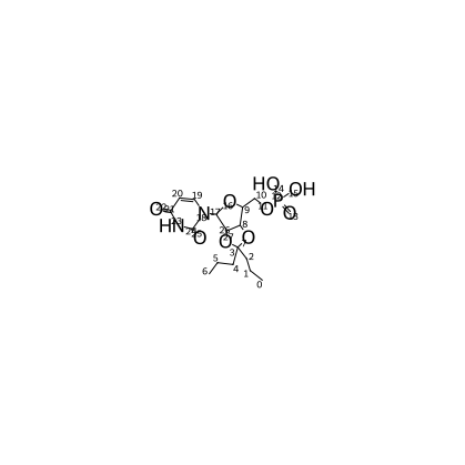 CCCC1(CCC)OC2C(COP(=O)(O)O)OC(n3ccc(=O)[nH]c3=O)C2O1